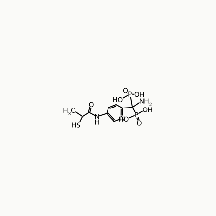 CC(S)C(=O)Nc1ccc(C(N)(P(=O)(O)O)P(=O)(O)O)nc1